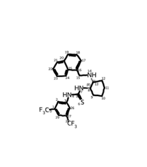 FC(F)(F)c1cc(NC(=S)N[C@@H]2CCCC[C@H]2NCc2cccc3ccccc23)cc(C(F)(F)F)c1